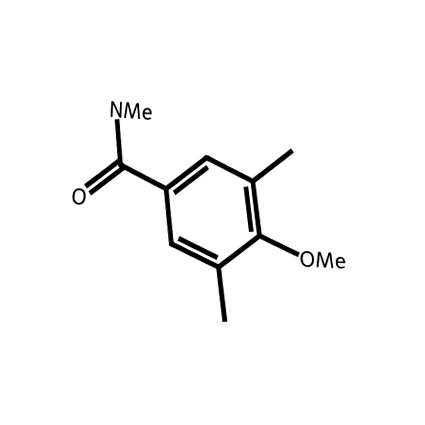 CNC(=O)c1cc(C)c(OC)c(C)c1